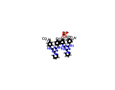 O=C(O)c1ccc(Nc2nc(Nc3ccc(C(=O)O)cc3)nc(-[n+]3ccccc3)n2)cc1.O=C(O)c1ccc(Nc2nc(Nc3ccc(C(=O)O)cc3)nc(-[n+]3ccccc3)n2)cc1.O=S(=O)([O-])[O-]